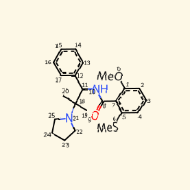 COc1cccc(SC)c1C(=O)NC(c1ccccc1)C(C)(C)N1CCCC1